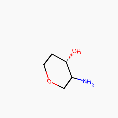 NC1COCC[C@@H]1O